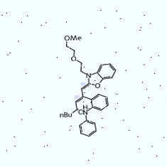 CCCCC(=O)/C=C(/C=C1\Oc2ccccc2N1CCOCCOC)c1ccccc1Nc1ccccc1